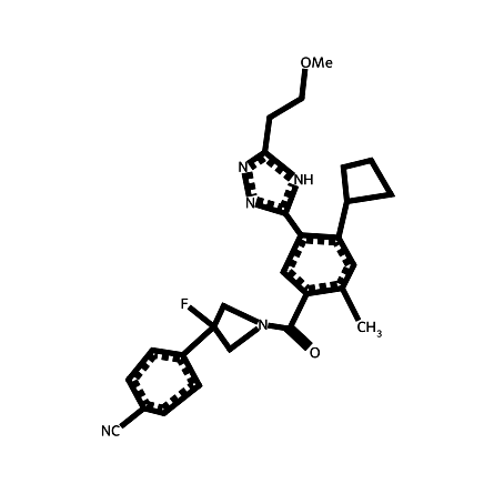 COCCc1nnc(-c2cc(C(=O)N3CC(F)(c4ccc(C#N)cc4)C3)c(C)cc2C2CCC2)[nH]1